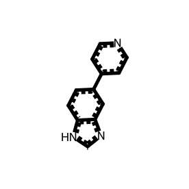 [c]1nc2cc(-c3ccncc3)ccc2[nH]1